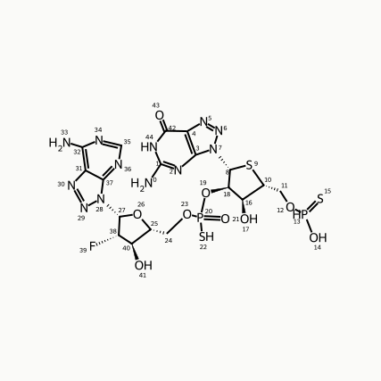 Nc1nc2c(nnn2[C@@H]2S[C@H](CO[PH](O)=S)[C@@H](O)[C@H]2OP(=O)(S)OC[C@H]2O[C@@H](n3nnc4c(N)ncnc43)[C@@H](F)[C@@H]2O)c(=O)[nH]1